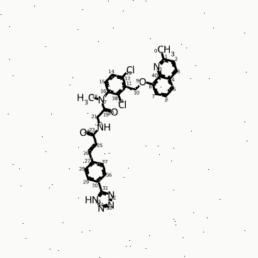 Cc1ccc2cccc(OCc3c(Cl)ccc(N(C)C(=O)CNC(=O)/C=C/c4ccc(-c5nnn[nH]5)cc4)c3Cl)c2n1